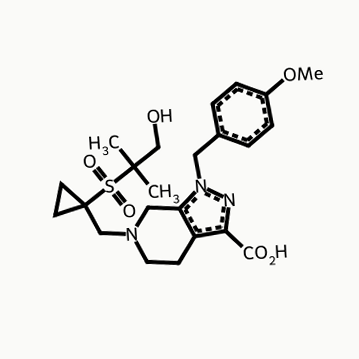 COc1ccc(Cn2nc(C(=O)O)c3c2CN(CC2(S(=O)(=O)C(C)(C)CO)CC2)CC3)cc1